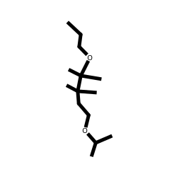 CCCOC(C)(C)C(C)(C)CCOC(C)C